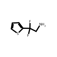 NCC(F)(F)c1cccs1